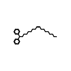 CCCCCCCC/C=C\CCCCCCCC(c1ccccc1)c1ccccc1